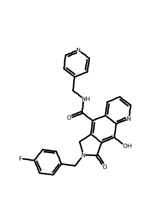 O=C(NCc1ccncc1)c1c2c(c(O)c3ncccc13)C(=O)N(Cc1ccc(F)cc1)C2